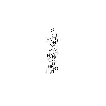 COc1ccc(OC)c(Nc2nc3c(s2)C2=CC[C@@H]4[C@H](CC[C@]5(C)/C(=N/NC(N)=O)CC[C@@H]45)[C@@]2(C)CC3)c1